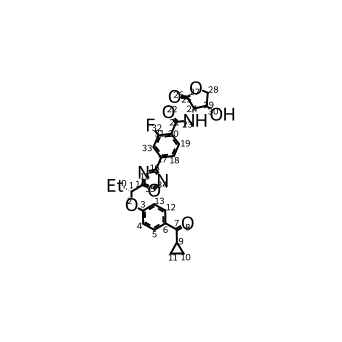 CC[C@@H](Oc1ccc(C(=O)C2CC2)cc1)c1nc(-c2ccc(C(=O)N[C@@H]3C(=O)OC[C@H]3O)c(F)c2)no1